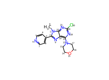 Cn1c(-c2ccncc2)nc2c(N3CCOCC3)nc(Cl)nc21